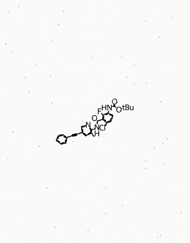 Cc1cc(C#Cc2ccccc2)cnc1NC(=O)c1c(Cl)ccc(NC(=O)OC(C)(C)C)c1F